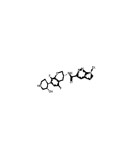 CCn1ccc2cc(C(=O)N[C@H]3COc4c(F)c([C@@H]5CCNC[C@@H]5O)cc(F)c4C3)nnc21